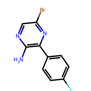 Nc1ncc(Br)nc1-c1ccc(F)cc1